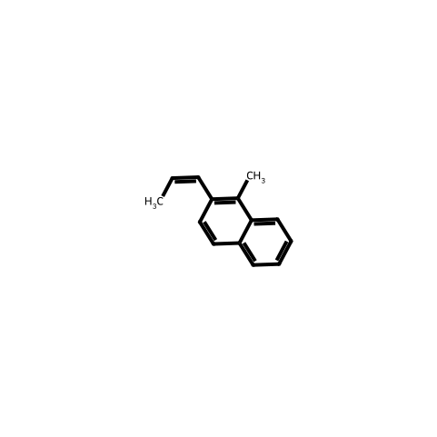 C/C=C\c1ccc2ccccc2c1C